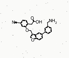 N#Cc1ccc(CC(=O)O)c(OCc2coc3ccc(-c4cccc(CN)c4)cc23)c1